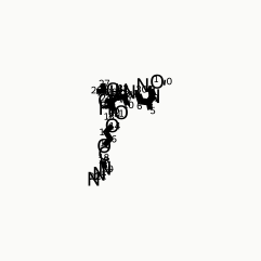 COc1nc(C)cc(N[C@@H]2CO[C@H](COCCOCCN=[N+]=[N-])[C@@H]3OC(C)(C)O[C@@H]32)n1